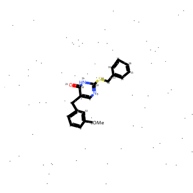 COc1cccc(Cc2cnc(SCc3ccccc3)[nH]c2=O)c1